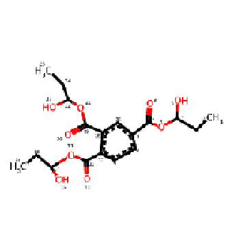 CCC(O)OC(=O)c1ccc(C(=O)OC(O)CC)c(C(=O)OC(O)CC)c1